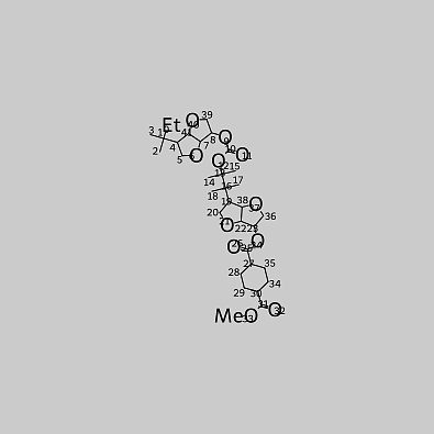 CCC(C)(C)C1COC2C(OC(=O)OC(C)(C)C(C)(C)C3COC4C(OC(=O)C5CCC(C(=O)OC)CC5)COC43)COC21